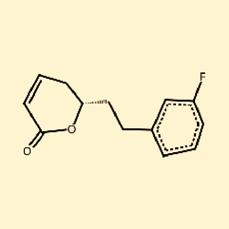 O=C1C=CC[C@H](CCc2cccc(F)c2)O1